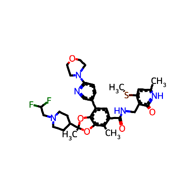 CSc1cc(C)[nH]c(=O)c1CNC(=O)c1cc(-c2ccc(N3CCOCC3)nc2)c2c(c1C)O[C@](C)(C1CCN(CC(F)F)CC1)O2